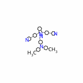 Cc1ccc(N(c2ccc(C)cc2)c2ccc(C=Nn3c(-c4ccc(-c5ccncc5)cc4)c4ccccc4c3-c3ccc(-c4ccncc4)cc3)cc2)cc1